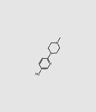 CN1CCN(c2ccc(O)cn2)CC1